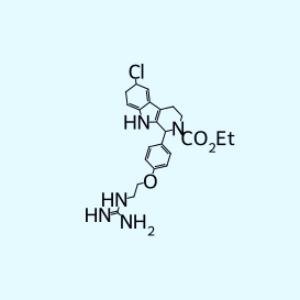 CCOC(=O)N1CCc2c([nH]c3c2=CC(Cl)CC=3)C1c1ccc(OCCNC(=N)N)cc1